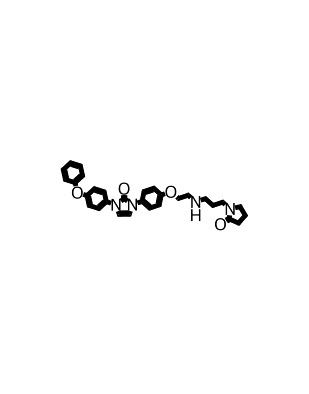 O=C1CCCN1CCCNCCOc1ccc(-n2ccn(-c3ccc(Oc4ccccc4)cc3)c2=O)cc1